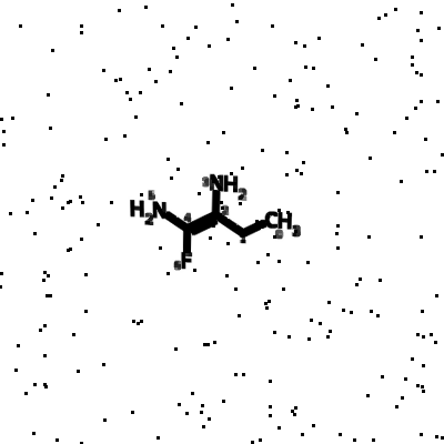 CC/C(N)=C(/N)F